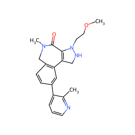 COCCN1NCC2=C1C(=O)N(C)Cc1ccc(-c3cccnc3C)cc12